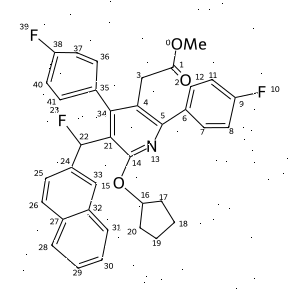 COC(=O)Cc1c(-c2ccc(F)cc2)nc(OC2CCCC2)c(C(F)c2ccc3ccccc3c2)c1-c1ccc(F)cc1